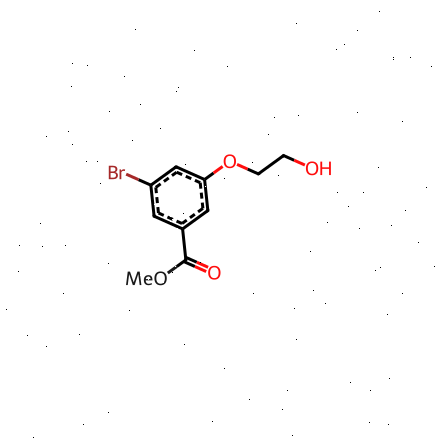 COC(=O)c1cc(Br)cc(OCCO)c1